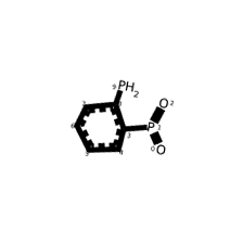 O=P(=O)c1ccccc1P